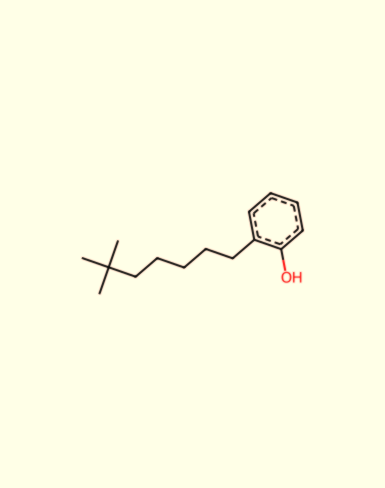 CC(C)(C)CCCCCc1ccccc1O